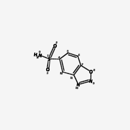 NS(=O)(=O)c1ccc2onnc2c1